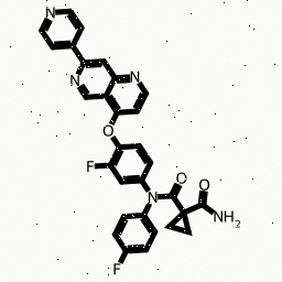 NC(=O)C1(C(=O)N(c2ccc(F)cc2)c2ccc(Oc3ccnc4cc(-c5ccncc5)ncc34)c(F)c2)CC1